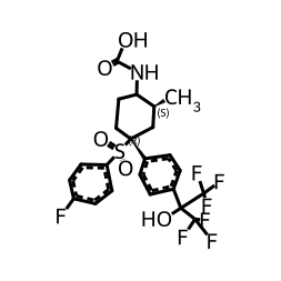 C[C@H]1C[C@](c2ccc(C(O)(C(F)(F)F)C(F)(F)F)cc2)(S(=O)(=O)c2ccc(F)cc2)CCC1NC(=O)O